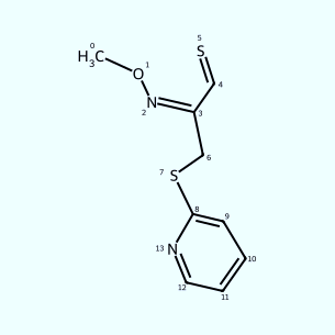 CON=C(C=S)CSc1ccccn1